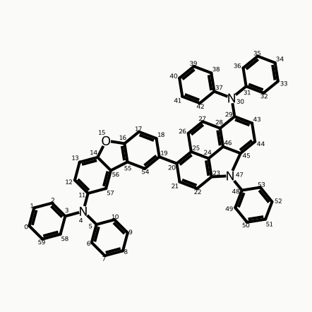 c1ccc(N(c2ccccc2)c2ccc3oc4ccc(-c5ccc6c7c5ccc5c(N(c8ccccc8)c8ccccc8)ccc(c57)n6-c5ccccc5)cc4c3c2)cc1